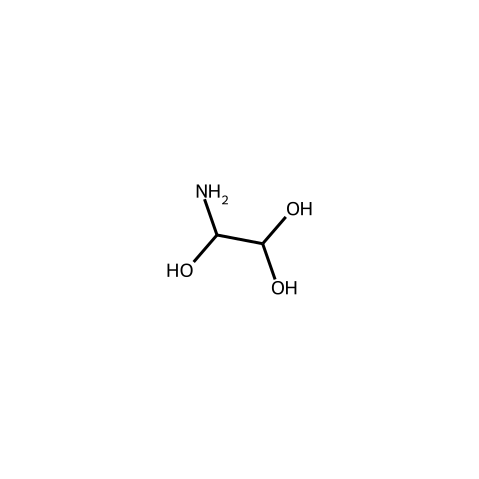 NC(O)C(O)O